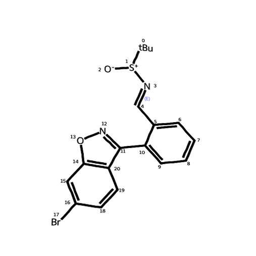 CC(C)(C)[S+]([O-])/N=C/c1ccccc1-c1noc2cc(Br)ccc12